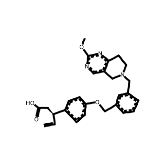 C=C[C@@H](CC(=O)O)c1ccc(OCc2cccc(CN3CCc4nc(OC)ncc4C3)c2)cc1